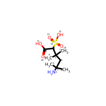 CC(C)(N)CC(C)(C)C(C(=O)O)S(=O)(=O)O